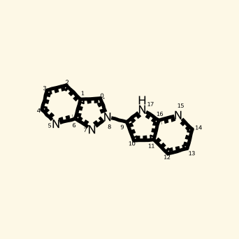 [c]1c2cccnc2nn1-c1cc2cccnc2[nH]1